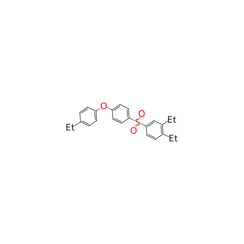 CCc1ccc(Oc2ccc(S(=O)(=O)c3ccc(CC)c(CC)c3)cc2)cc1